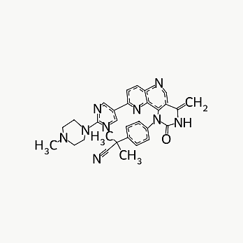 C=C1NC(=O)N(c2ccc(C(C)(C)C#N)cc2)c2c1cnc1ccc(-c3cnc(N4CCN(C)CC4)nc3)nc21